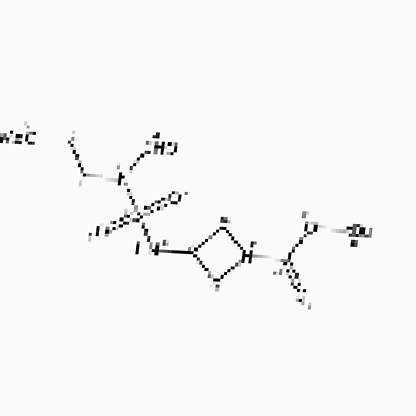 COCCN(C=O)S(=O)(=O)NC1CN(C(=O)OC(C)(C)C)C1